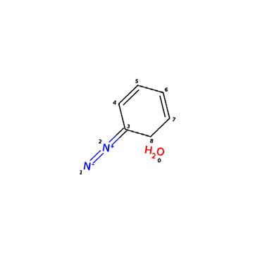 O.[N-]=[N+]=C1C=CC=CC1